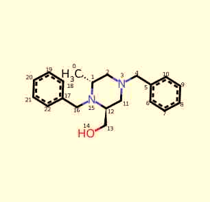 C[C@@H]1CN(Cc2ccccc2)C[C@@H](CO)N1Cc1ccccc1